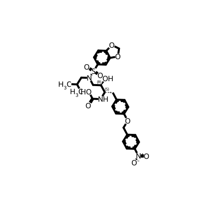 CC(C)CN(C[C@@H](O)[C@H](Cc1ccc(OCc2ccc([N+](=O)[O-])cc2)cc1)NC(=O)O)S(=O)(=O)c1ccc2c(c1)OCO2